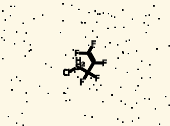 FC(F)=C(F)C(F)(F)[SiH2]Cl